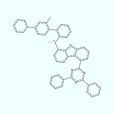 Cc1cc(-c2ccccc2)ccc1-c1ccccc1[C@@H](C)c1cccc2c1oc1cccc(-c3nc(-c4ccccc4)nc(-c4ccccc4)n3)c12